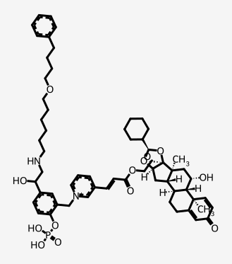 C[C@]12C=CC(=O)C=C1CC[C@@H]1[C@@H]2[C@@H](O)C[C@@]2(C)[C@H]1C[C@H]1O[C@@H](C3CCCCC3)O[C@]12C(=O)COC(=O)/C=C/c1ccc[n+](Cc2cc(C(O)CNCCCCCCOCCCCc3ccccc3)ccc2OP(=O)(O)O)c1